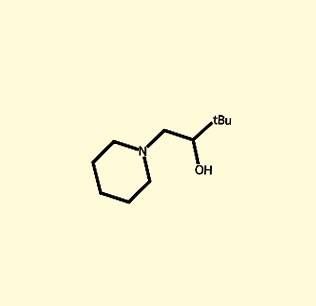 CC(C)(C)C(O)CN1CCCCC1